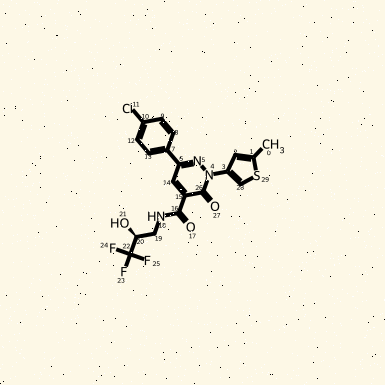 Cc1cc(-n2nc(-c3ccc(Cl)cc3)cc(C(=O)NC[C@H](O)C(F)(F)F)c2=O)cs1